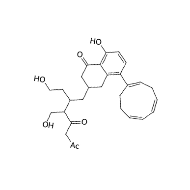 CC(=O)CC(=O)C(CO)C(CCO)CC1CC(=O)c2c(O)ccc(/C3=C/C/C=C\C=C/CC3)c2C1